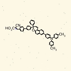 Cc1ccc(N(c2ccc(C)cc2)c2ccc(-c3ccc4c5c(ccc4c3)OC(c3ccccc3)(c3ccc(-c4ccc(/C=C(\C#N)C(=O)O)cc4)cc3)C=C5)cc2)cc1